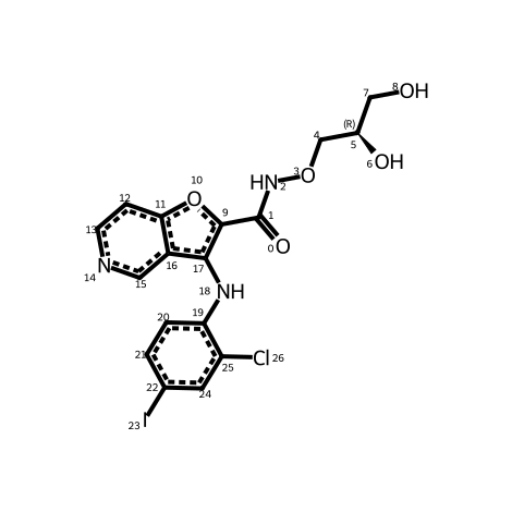 O=C(NOC[C@H](O)CO)c1oc2ccncc2c1Nc1ccc(I)cc1Cl